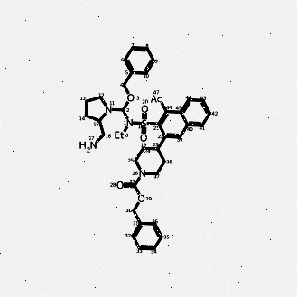 CCN(C(OCc1ccccc1)N1CCCC1CN)S(=O)(=O)c1c(C2CCN(C(=O)OCc3ccccc3)CC2)cc2ccccc2c1C(C)=O